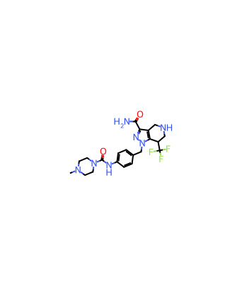 CN1CCN(C(=O)Nc2ccc(Cn3nc(C(N)=O)c4c3C(C(F)(F)F)CNC4)cc2)CC1